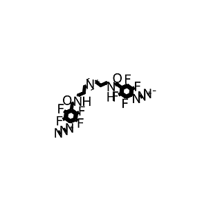 C[N+](C)(CCCNC(=O)c1c(F)c(F)c(N=[N+]=[N-])c(F)c1F)CCCNC(=O)c1c(F)c(F)c(N=[N+]=[N-])c(F)c1F